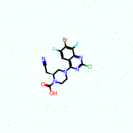 N#CC[C@H]1CN(c2nc(Cl)nc3c(F)c(Br)c(F)cc23)CCN1C(=O)O